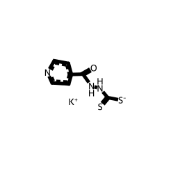 O=C(NNC(=S)[S-])c1ccncc1.[K+]